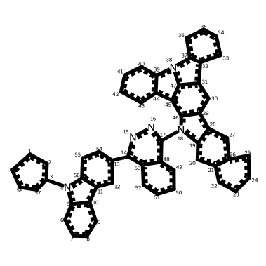 c1ccc(-n2c3ccccc3c3cc(-c4nnc(-n5c6cc7ccccc7cc6c6cc7c8ccccc8n8c9ccccc9c(c65)c78)c5ccccc45)ccc32)cc1